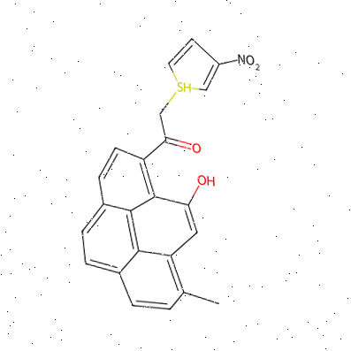 Cc1ccc2ccc3ccc(C(=O)C[SH]4C=CC([N+](=O)[O-])=C4)c4c(O)cc1c2c34